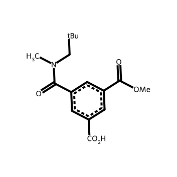 COC(=O)c1cc(C(=O)O)cc(C(=O)N(C)CC(C)(C)C)c1